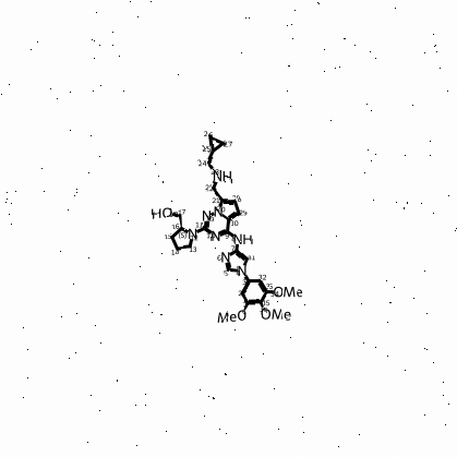 COc1cc(-n2cnc(Nc3nc(N4CCC[C@H]4CO)nn4c(CNCC5CC5)ccc34)c2)cc(OC)c1OC